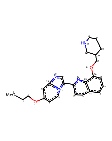 COCCOc1ccn2c(-c3ccc4cccc(OCC5CCCNC5)c4n3)cnc2c1